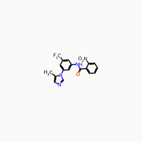 Cc1cncn1-c1cc(NC(=O)c2ccccc2[N+](=O)[O-])cc(C(F)(F)F)c1